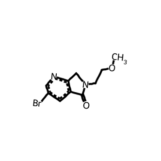 COCCN1Cc2ncc(Br)cc2C1=O